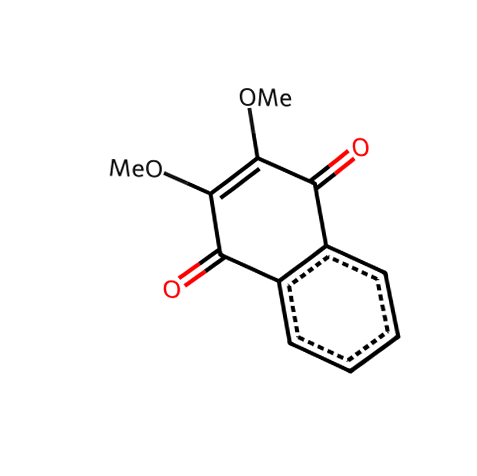 COC1=C(OC)C(=O)c2ccccc2C1=O